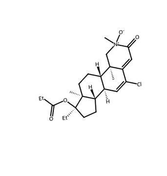 CCC(=O)O[C@]1(CC)CC[C@H]2[C@@H]3C=C(Cl)C4=CC(=O)[N+](C)([O-])C[C@]4(C)[C@H]3CC[C@@]21C